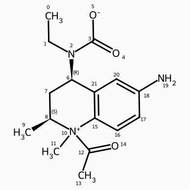 CCN(C(=O)[O-])[C@@H]1C[C@H](C)[N+](C)(C(C)=O)c2ccc(N)cc21